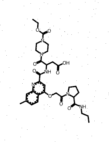 CCCNC(=O)C1CCCN1C(=O)COc1cc(C(=O)NC(CC(=O)O)C(=O)N2CCN(C(=O)OCC)CC2)nc2cc(C)ccc12